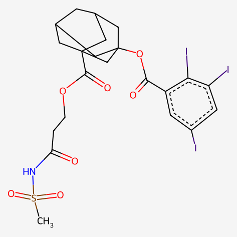 CS(=O)(=O)NC(=O)CCOC(=O)C12CC3CC(CC(OC(=O)c4cc(I)cc(I)c4I)(C3)C1)C2